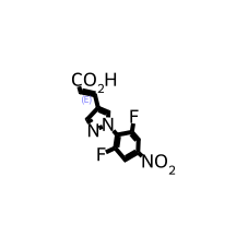 O=C(O)/C=C/c1cnn(-c2c(F)cc([N+](=O)[O-])cc2F)c1